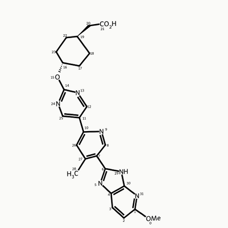 COc1ccc2nc(-c3cnc(-c4cnc(O[C@H]5CC[C@H](CC(=O)O)CC5)nc4)cc3C)[nH]c2n1